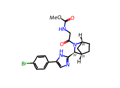 COC(=O)NCC(=O)N1[C@@H]2CC[C@@H](C2)[C@H]1c1ncc(-c2ccc(Br)cc2)[nH]1